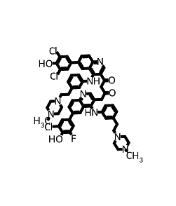 CN1CCN(CCc2cccc(Nc3c(CC(=O)CC(=O)c4cnc5ccc(-c6cc(Cl)c(O)c(Cl)c6)cc5c4Nc4cccc(CCN5CCN(C)CC5)c4)cnc4ccc(-c5cc(F)c(O)c(Cl)c5)cc34)c2)CC1